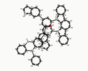 c1ccc(N2c3ccccc3Sc3cc(-c4ccnc(-n5c6ccccc6c6ccc7c8ccccc8n(-c8cc(-c9ccc%10occc%10c9)cc(-c9ccc%10ccoc%10c9)c8)c7c65)n4)ccc32)cc1